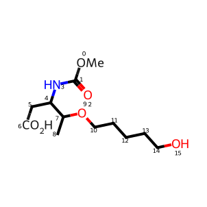 COC(=O)NC(CC(=O)O)C(C)OCCCCCO